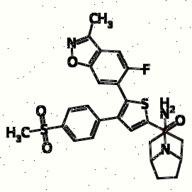 Cc1noc2cc(-c3sc(C(=O)N4C5CCC4CC(N)C5)cc3-c3ccc(S(C)(=O)=O)cc3)c(F)cc12